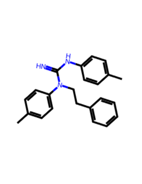 Cc1ccc(NC(=N)N(CCc2ccccc2)c2ccc(C)cc2)cc1